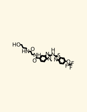 Cn1c(Nc2nc3ccc(OC(F)(F)F)cc3s2)nc2cc(C(=O)NCC(=O)NCCCO)ccc21